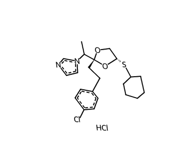 CC(n1ccnc1)[C@]1(CCc2ccc(Cl)cc2)OC[C@H](SC2CCCCC2)O1.Cl